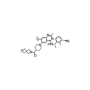 COc1cc2nc(C)nc(N[C@H](C)c3cccc(C#N)c3C)c2cc1N1CCC(C(=O)N2CC3(COC3)C2)CC1